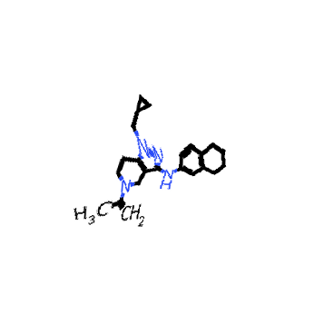 C=C(C)N1CCc2c(c(Nc3ccc4c(c3)CCCC4)nn2CC2CC2)C1